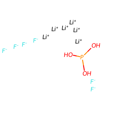 OP(O)O.[F-].[F-].[F-].[F-].[F-].[F-].[Li+].[Li+].[Li+].[Li+].[Li+].[Li+]